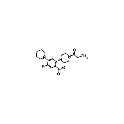 CCC(=O)N1CCN(c2cc(N3CCCCC3)c(F)cc2[N+](=O)[O-])CC1